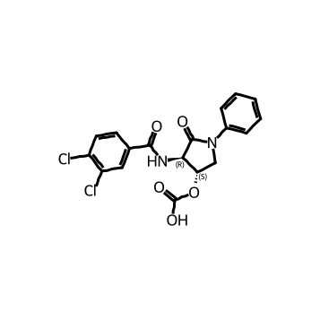 O=C(O)O[C@H]1CN(c2ccccc2)C(=O)[C@@H]1NC(=O)c1ccc(Cl)c(Cl)c1